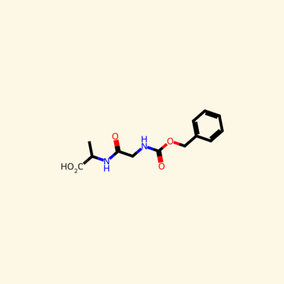 CC(NC(=O)CNC(=O)OCc1ccccc1)C(=O)O